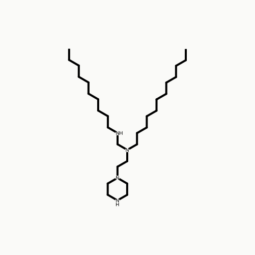 CCCCCCCCCCCCN(CCN1CCNCC1)CNCCCCCCCCCC